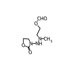 CN(CCOC=O)NN1CCOC1=O